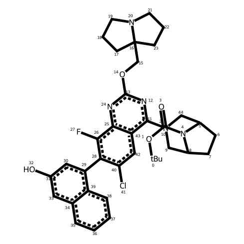 CC(C)(C)OC(=O)N1C2CCC1CN(c1nc(OCC34CCCN3CCC4)nc3c(F)c(-c4cc(O)cc5ccccc45)c(Cl)cc13)C2